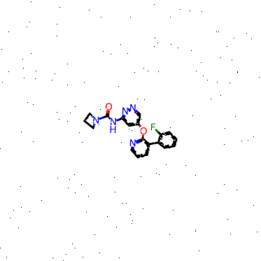 O=C(Nc1cc(Oc2ncccc2-c2ccccc2F)cnn1)N1CCC1